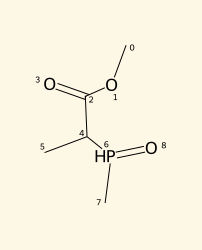 COC(=O)C(C)[PH](C)=O